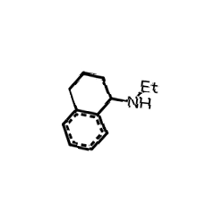 CCNC1CCCc2ccccc21